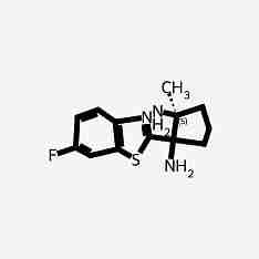 C[C@]1(N)CCCC1(N)c1nc2ccc(F)cc2s1